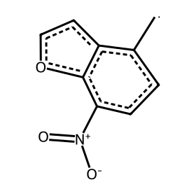 [CH2]c1ccc([N+](=O)[O-])c2occc12